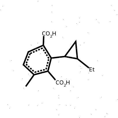 CCC1CC1c1c(C(=O)O)ccc(C)c1C(=O)O